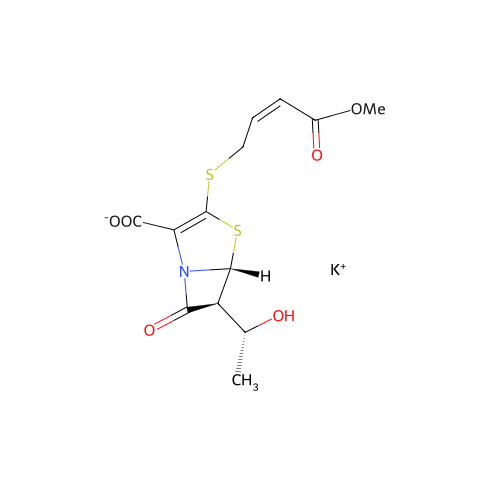 COC(=O)/C=C\CSC1=C(C(=O)[O-])N2C(=O)[C@H]([C@@H](C)O)[C@H]2S1.[K+]